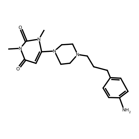 Cn1c(N2CCN(CCCc3ccc(N)cc3)CC2)cc(=O)n(C)c1=O